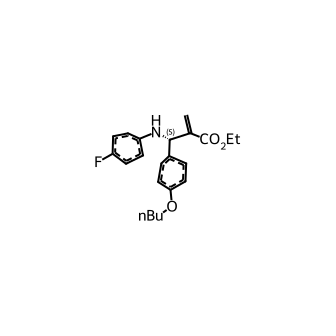 C=C(C(=O)OCC)[C@@H](Nc1ccc(F)cc1)c1ccc(OCCCC)cc1